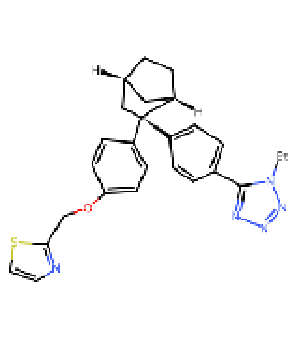 CCn1nnnc1-c1ccc([C@@]2(c3ccc(OCc4nccs4)cc3)C[C@@H]3CC[C@H]2C3)cc1